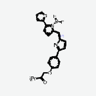 CC(C)C(=O)COc1ccc(C2=N/C(=C\c3ccc(-c4cccs4)n3B(F)F)C=C2)cc1